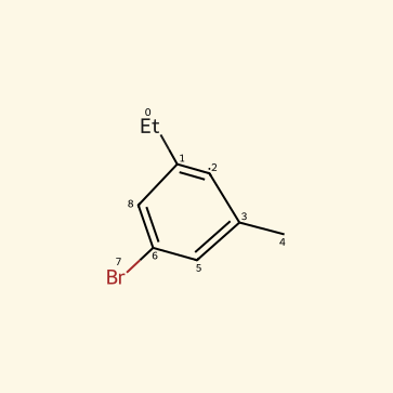 CCc1[c]c(C)cc(Br)c1